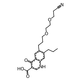 CCCc1cc2[nH]cc(C(=O)O)c(=O)c2cc1CCCOCCOCCC#N